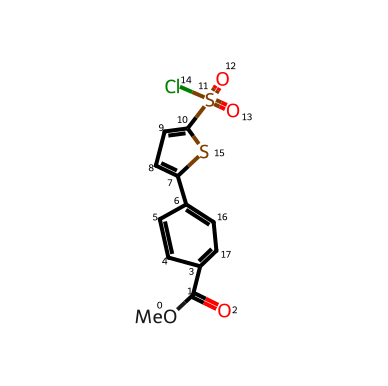 COC(=O)c1ccc(-c2ccc(S(=O)(=O)Cl)s2)cc1